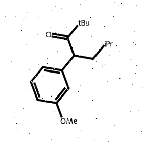 COc1cccc(C(CC(C)C)C(=O)C(C)(C)C)c1